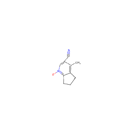 Cc1c(C#N)c[n+]([O-])c2c1CCC2